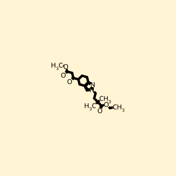 CCOC(=O)C(C)(C)CCn1cc2c(n1)CCC(C(=O)CC(=O)OC)C2